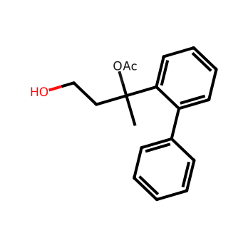 CC(=O)OC(C)(CCO)c1ccccc1-c1ccccc1